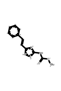 CC(C)(C)OC(=O)Nc1nc(/C=C/c2ccccc2)ns1